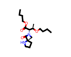 CCCCOC(=O)[C@H]([C@@H](C)OCCCC)N1C[C@]2(CCCN2)C1=O